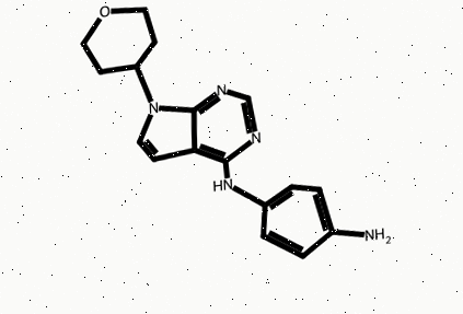 Nc1ccc(Nc2ncnc3c2ccn3C2CCOCC2)cc1